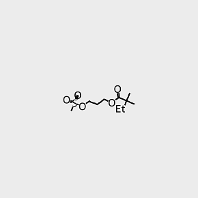 CCC(C)(C)C(=O)OCCCOS(C)(=O)=O